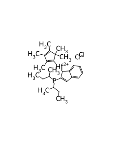 CCC(C)P(C1=Cc2ccccc2[CH]1[Hf+2][C]1=C(C)C(C)=C(C)C1(C)C)C(C)CC.[Cl-].[Cl-]